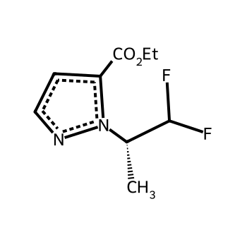 CCOC(=O)c1ccnn1[C@@H](C)C(F)F